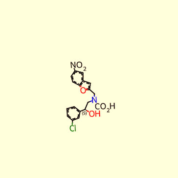 O=C(O)N(Cc1cc2cc([N+](=O)[O-])ccc2o1)C[C@@H](O)c1cccc(Cl)c1